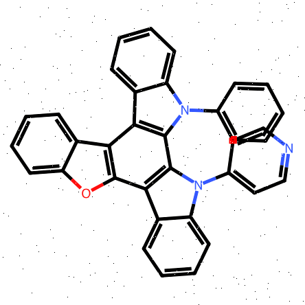 c1ccc(-n2c3ccccc3c3c4c5ccccc5oc4c4c5ccccc5n(-c5ccncc5)c4c32)cc1